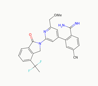 COCc1cc(-c2cc(C#N)ccc2C(=N)N)cc(N2Cc3c(cccc3C(C)(F)F)C2=O)n1